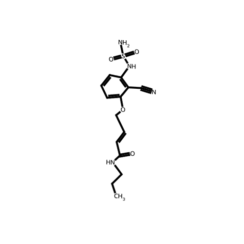 CCCNC(=O)C=CCOc1cccc(NS(N)(=O)=O)c1C#N